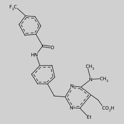 CCc1nc(Cc2ccc(NC(=O)c3ccc(C(F)(F)F)cc3)cc2)nc(N(C)C)c1CC(=O)O